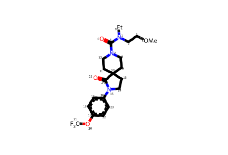 CCN(CCOC)C(=O)N1CCC2(CC1)CCN(c1ccc(OC(F)(F)F)cc1)C2=O